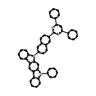 c1ccc(-c2cc(-c3ccccc3)nc(-c3ccc4cc(-n5c6ccccc6c6cc7c8ccccc8n(-c8ccccc8)c7cc65)ccc4c3)n2)cc1